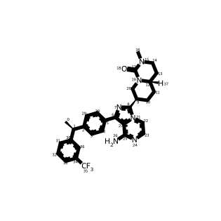 C[C@@H](c1ccc(-c2nc([C@@H]3CC[C@H]4CCN(C)C(=O)N4C3)n3ccnc(N)c23)cc1)c1cccc(C(F)(F)F)c1